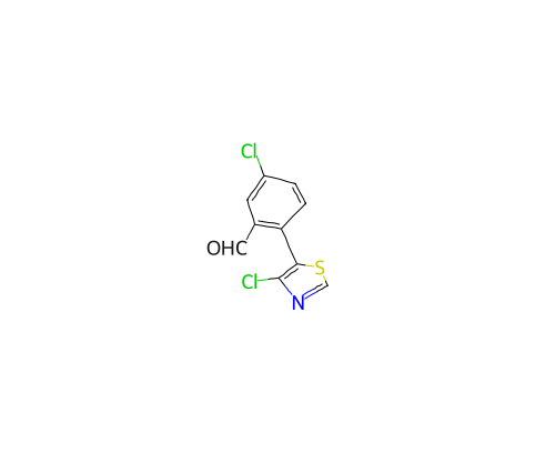 O=Cc1cc(Cl)ccc1-c1scnc1Cl